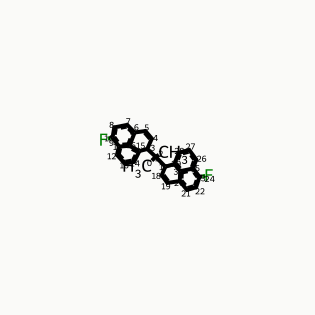 CC(C)(C1C=Cc2ccc(F)c3cccc1c23)C1C=Cc2ccc(F)c3cccc1c23